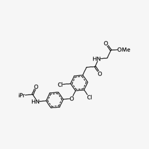 COC(=O)CNC(=O)Cc1cc(Cl)c(Oc2ccc(NC(=O)C(C)C)cc2)c(Cl)c1